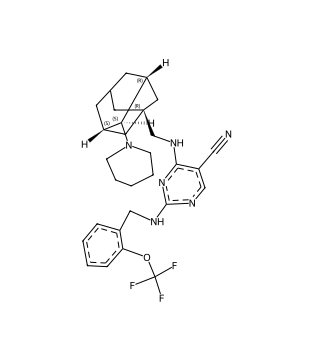 N#Cc1cnc(NCc2ccccc2OC(F)(F)F)nc1NC[C@@]12CC3C[C@H](C1)[C@@H](N1CCCCC1)[C@@H](C3)C2